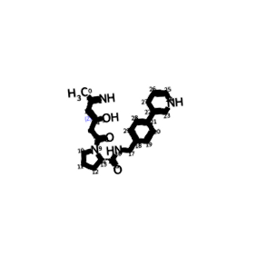 CC(=N)/C=C(\O)CC(=O)N1CCC[C@H]1C(=O)NCc1ccc(C2=CNC=CC2)cc1